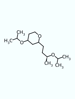 CC(C)OC1CCOC(CC[C@H](C)OC(C)C)C1